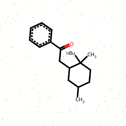 CCCCC1(C)CCC(C)CC1CC(=O)c1ccccc1